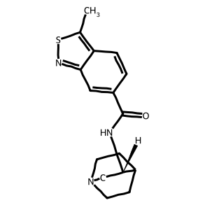 Cc1snc2cc(C(=O)N[C@H]3CN4CCC3CC4)ccc12